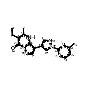 CCc1c(C)[nH]c2c(-c3cnn(-c4nccc(C)n4)c3)cnn2c1=O